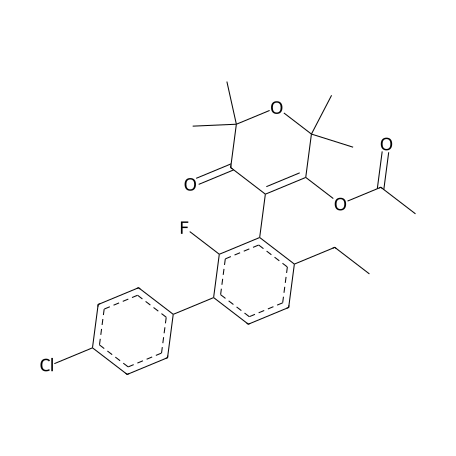 CCc1ccc(-c2ccc(Cl)cc2)c(F)c1C1=C(OC(C)=O)C(C)(C)OC(C)(C)C1=O